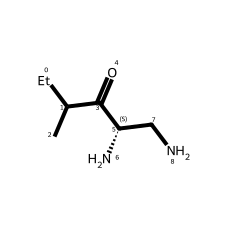 CCC(C)C(=O)[C@@H](N)CN